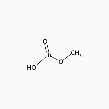 C[O][Ti](=[O])[OH]